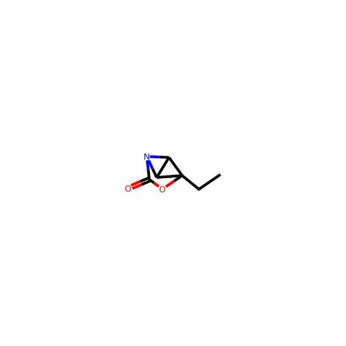 CCC12OC(=O)N3C1C32